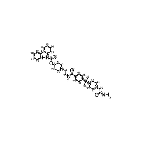 CN(CCN1CCC(OC(=O)Nc2ccccc2-c2ccccc2)CC1)C(=O)c1ccc(C(C)(C)N2CCN(CC(N)=O)CC2)cc1